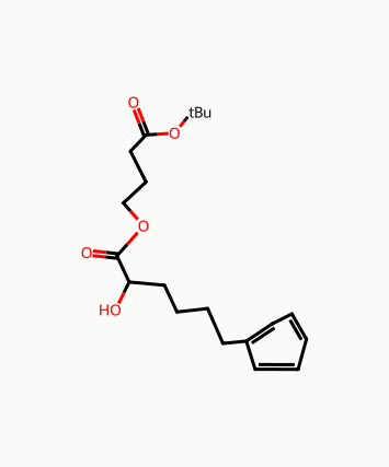 CC(C)(C)OC(=O)CCCOC(=O)C(O)CCCCc1ccccc1